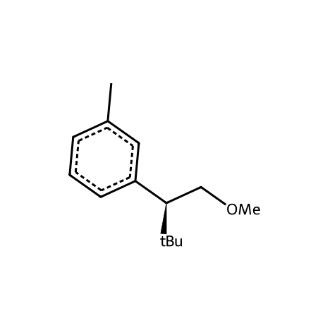 COC[C@H](c1cccc(C)c1)C(C)(C)C